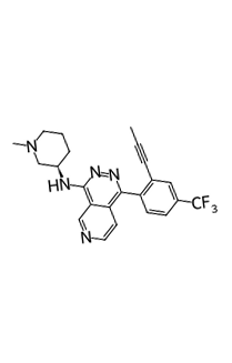 CC#Cc1cc(C(F)(F)F)ccc1-c1nnc(N[C@@H]2CCCN(C)C2)c2cnccc12